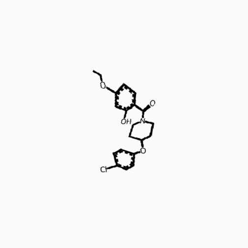 CCOc1ccc(C(=O)N2CCC(Oc3ccc(Cl)cc3)CC2)c(O)c1